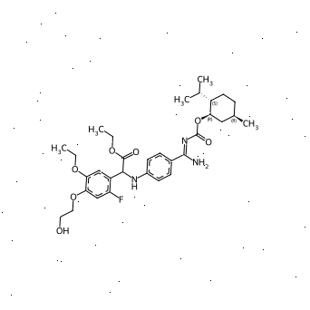 CCOC(=O)C(Nc1ccc(C(N)=NC(=O)O[C@@H]2C[C@H](C)CC[C@H]2C(C)C)cc1)c1cc(OCC)c(OCCO)cc1F